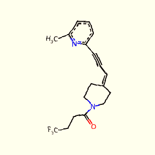 Cc1cccc(C#CC=C2CCN(C(=O)CCC(F)(F)F)CC2)n1